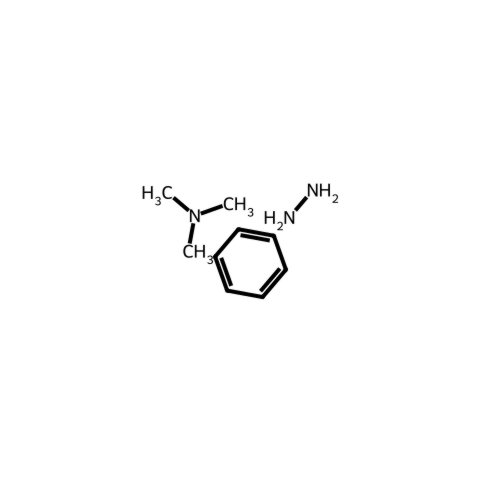 CN(C)C.NN.c1ccccc1